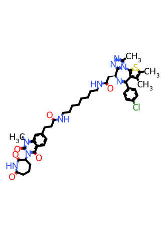 Cc1sc2c(c1C)C(c1ccc(Cl)cc1)=N[C@@H](CC(=O)NCCCCCCCCNC(=O)CCc1ccc3c(=O)n(C4CCCC(=O)NC4=O)c(=O)n(C)c3c1)c1nnc(C)n1-2